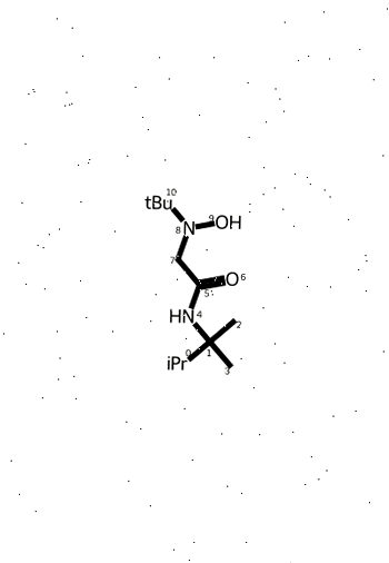 CC(C)C(C)(C)NC(=O)CN(O)C(C)(C)C